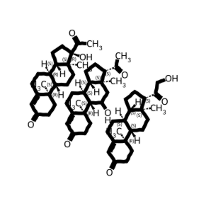 CC(=O)[C@@]1(O)CC[C@H]2[C@@H]3CCC4=CC(=O)CC[C@]4(C)[C@H]3CC[C@@]21C.CC(=O)[C@H]1CC[C@H]2[C@@H]3CCC4=CC(=O)CC[C@]4(C)[C@H]3C(O)C[C@]12C.C[C@]12CC[C@H]3[C@@H](CCC4=CC(=O)CC[C@@]43C)[C@@H]1CC[C@@H]2C(=O)CO